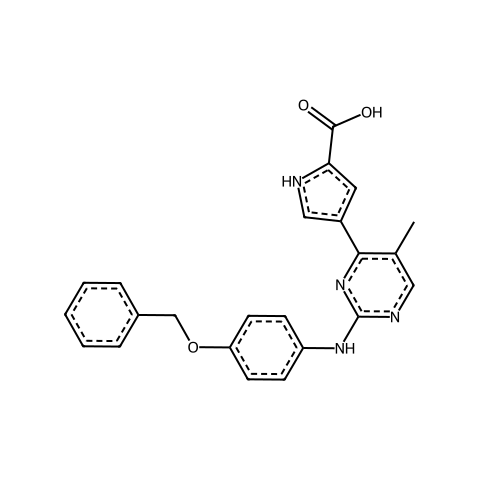 Cc1cnc(Nc2ccc(OCc3ccccc3)cc2)nc1-c1c[nH]c(C(=O)O)c1